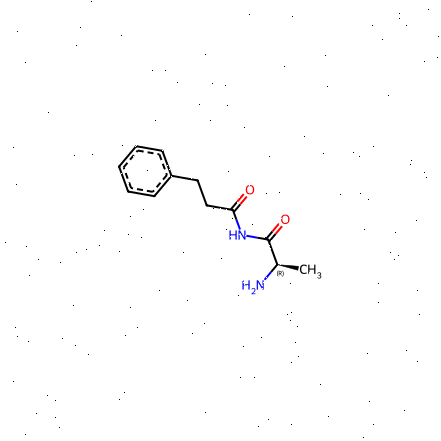 C[C@@H](N)C(=O)NC(=O)CCc1ccccc1